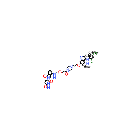 COc1cc(Nc2c(C#N)cnc3cc(OCCCN4CCN(C(=O)CCOCCNc5cccc6c5CN(C5CCC(=O)NC5=O)C6=O)CC4)c(OC)cc23)c(Cl)cc1Cl